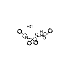 Cl.O=C(CNC(=O)OCc1ccccc1)NCC(CCN1CCC(c2ccccc2)CC1)(c1ccccc1)c1ccccc1